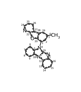 Cc1cc(-n2c3ccccc3n3c4ccccc4nc23)c2oc3ncccc3c2c1